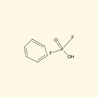 O=P(O)(F)F.c1ccccc1